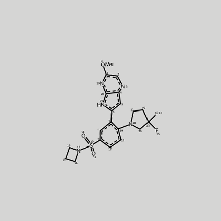 COc1cnc2cc(-c3cc(S(=O)(=O)N4CCC4)ccc3N3CCC(F)(F)C3)[nH]c2n1